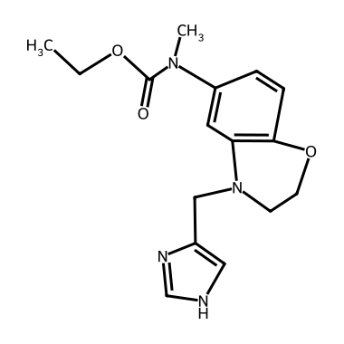 CCOC(=O)N(C)c1ccc2c(c1)N(Cc1c[nH]cn1)CCO2